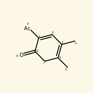 CC(=O)C1=CC(C)=C(C)CC1=O